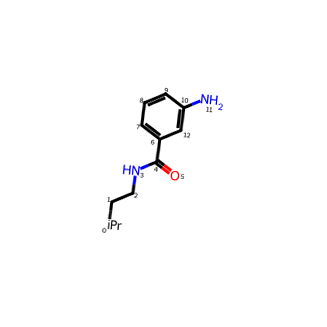 CC(C)CCNC(=O)c1cccc(N)c1